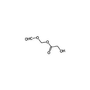 O=COCOC(=O)CO